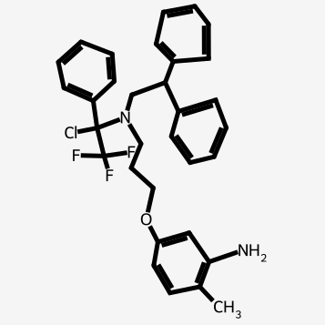 Cc1ccc(OCCCN(CC(c2ccccc2)c2ccccc2)C(Cl)(c2ccccc2)C(F)(F)F)cc1N